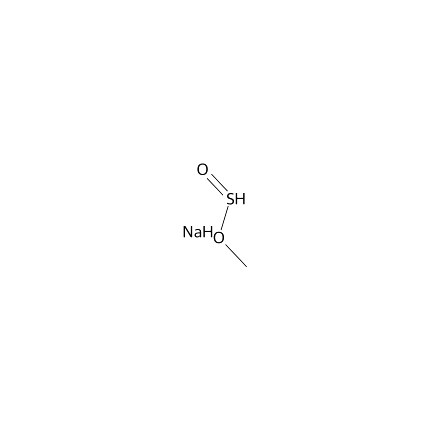 CO[SH]=O.[NaH]